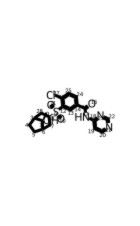 C[C@]1(O)C2CCC1C[C@@H](S(=O)(=O)c1cc(C(=O)Nc3ccncn3)ccc1Cl)C2